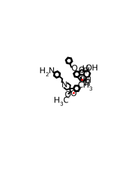 CCOC(=O)C1(c2ccccc2)CCN(CCc2ccc(N)cc2)CC1.CN1CC[C@]23c4c5ccc(OCc6ccccc6)c4O[C@H]2[C@@H](O)C=C[C@H]3[C@H]1C5